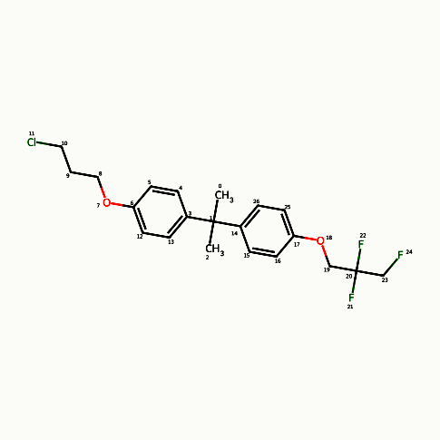 CC(C)(c1ccc(OCCCCl)cc1)c1ccc(OCC(F)(F)CF)cc1